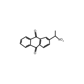 CC(c1ccc2c(c1)C(=O)c1ccccc1C2=O)[N+](=O)[O-]